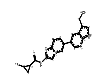 O=C(Nc1cn2cc(-c3cnc4[nH]cc(CO)c4c3)ccc2n1)C1CC1F